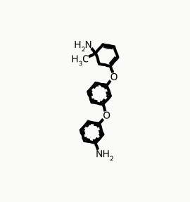 CC1(N)C=CC=C(Oc2cccc(Oc3cccc(N)c3)c2)C1